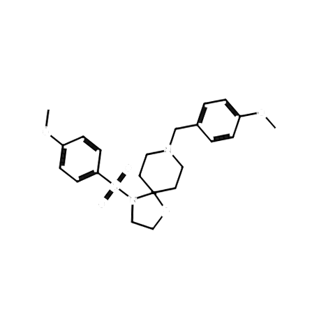 COc1ccc(CN2CCC3(CC2)OCCN3S(=O)(=O)c2ccc(OC)cc2)cc1